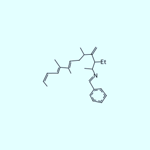 C=C(C(C)C/C=C(C)/C(C)=C/C=C\C)C(CC)C(C)/N=C/c1ccccc1